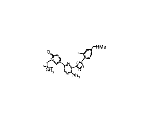 CNCc1ccc(-c2nnc(-c3nc(-c4ccc(=O)n(CC(C)(C)N)c4)cnc3N)o2)c(C)c1